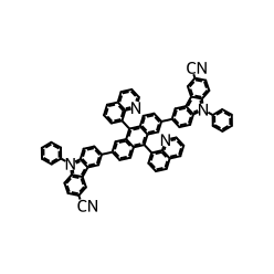 N#Cc1ccc2c(c1)c1cc(-c3ccc4c(-c5cccc6cccnc56)c5cc(-c6ccc7c(c6)c6cc(C#N)ccc6n7-c6ccccc6)ccc5c(-c5cccc6cccnc56)c4c3)ccc1n2-c1ccccc1